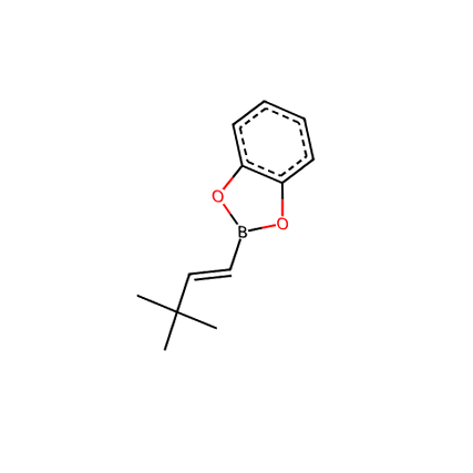 CC(C)(C)/C=C/B1Oc2ccccc2O1